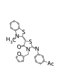 CC(=O)c1cccc(N=C2S/C(=C3\Sc4ccccc4N3C)C(=O)N2Cc2ccco2)c1